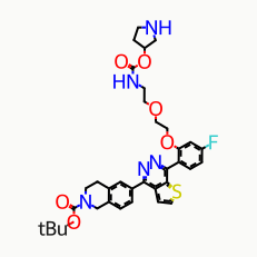 CC(C)(C)OC(=O)N1CCc2cc(-c3nnc(-c4ccc(F)cc4OCCOCCNC(=O)OC4CCNC4)c4sccc34)ccc2C1